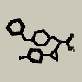 O=C(N(CC1CCN(Cc2ccccc2)CC1)C1CC1c1ccc(I)cc1)C(F)(F)F